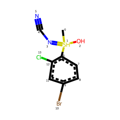 C[SH](O)(=NC#N)c1ccc(Br)cc1Cl